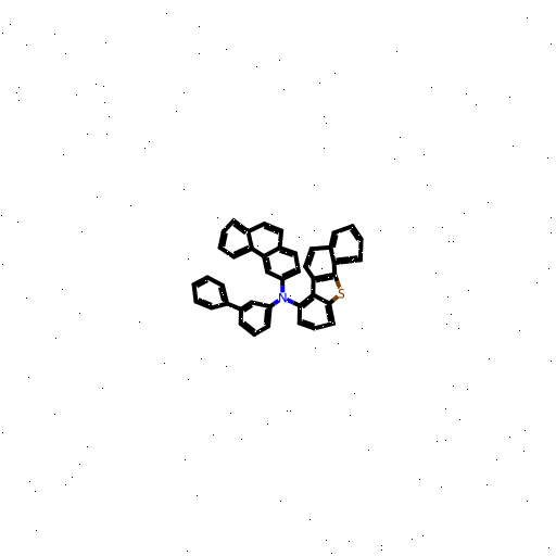 c1ccc(-c2cccc(N(c3ccc4ccc5ccccc5c4c3)c3cccc4sc5c6ccccc6ccc5c34)c2)cc1